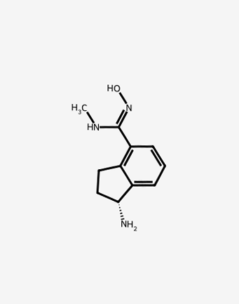 CN/C(=N\O)c1cccc2c1CC[C@H]2N